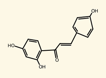 O=C(C=Cc1ccc(O)cc1)c1ccc(O)cc1O